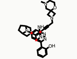 CN1CCOC2(C1)CN(CC#Cc1cc(N3C4CCC3CN(c3cc(-c5ccccc5O)nnc3N)C4)ccn1)C2